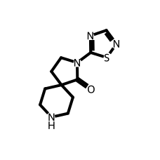 O=C1N(c2ncns2)CCC12CCNCC2